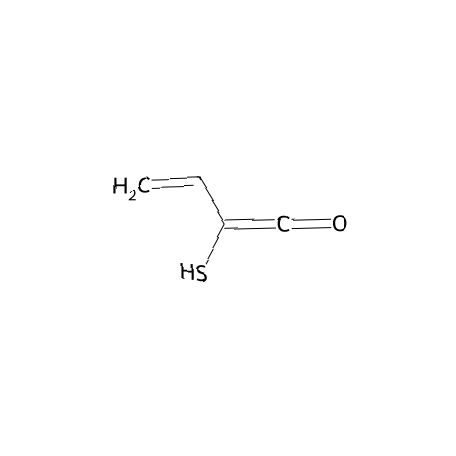 C=CC(S)=C=O